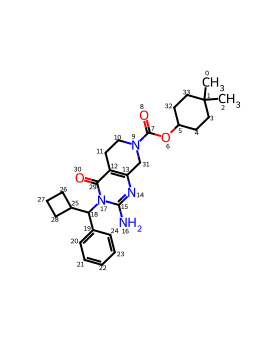 CC1(C)CCC(OC(=O)N2CCc3c(nc(N)n(C(c4ccccc4)C4CCC4)c3=O)C2)CC1